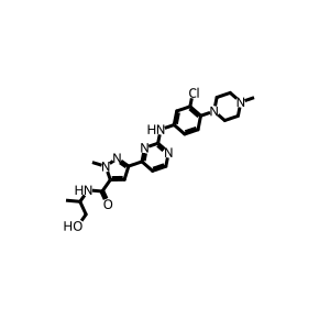 CC(CO)NC(=O)c1cc(-c2ccnc(Nc3ccc(N4CCN(C)CC4)c(Cl)c3)n2)nn1C